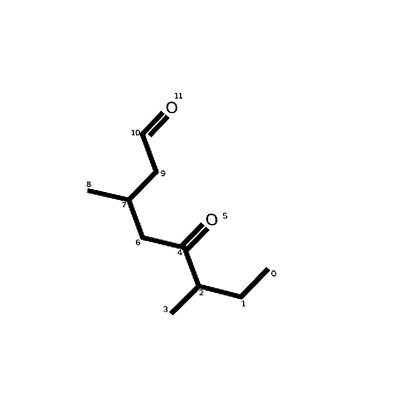 CCC(C)C(=O)CC(C)CC=O